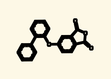 O=C1OC(=O)c2cc(Oc3ccccc3-c3ccccc3)ccc21